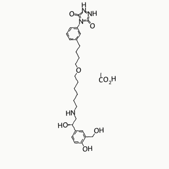 CC(=O)O.O=c1[nH][nH]c(=O)n1-c1cccc(CCCCOCCCCCCNC[C@H](O)c2ccc(O)c(CO)c2)c1